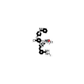 CCOC(=O)CS(=O)(=O)N(C/C=C/c1cccc(C(=N)N)c1)c1ccc(OC2CCN(C(=N)c3ccccc3)CC2)c(Cl)c1.Cl.Cl